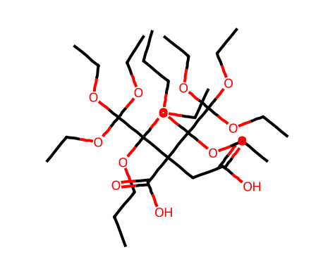 CCCOC(OCC)(C(OCC)(OCC)OCC)C(CC(=O)O)(C(=O)O)C(OCC)(OCCC)C(OCC)(OCC)OCC